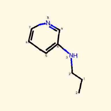 CCCNc1c[c]cnc1